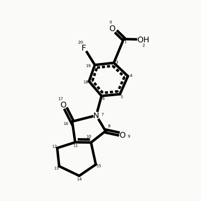 O=C(O)c1ccc(N2C(=O)C3=C(CCCC3)C2=O)cc1F